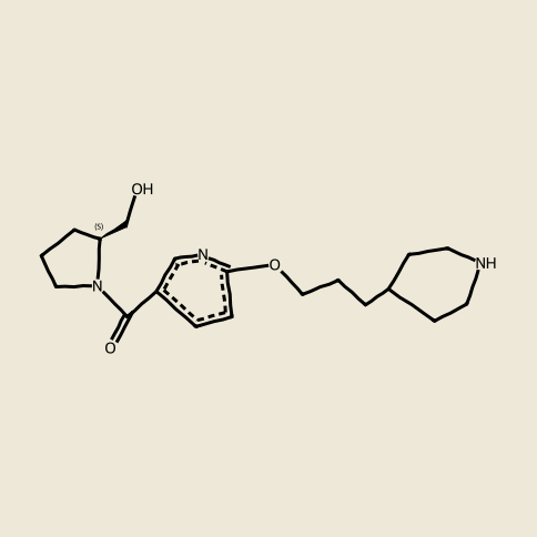 O=C(c1ccc(OCCCC2CCNCC2)nc1)N1CCC[C@H]1CO